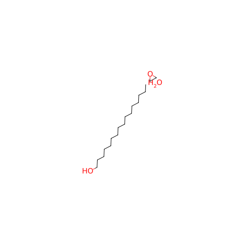 C1CO1.CCCCCCCCCCCCCCCCO.O